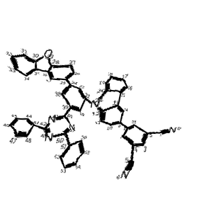 N#Cc1cc(C#N)cc(-c2ccc3c(c2)c2ccccc2n3-c2cc(-c3ccc4oc5ccccc5c4c3)cc(-c3nc(-c4ccccc4)nc(-c4ccccc4)n3)c2)c1